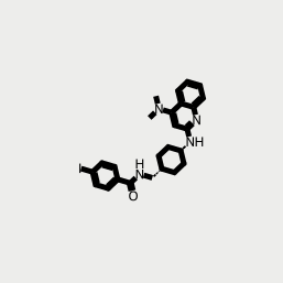 CN(C)c1cc(N[C@H]2CC[C@@H](CNC(=O)c3ccc(I)cc3)CC2)nc2ccccc12